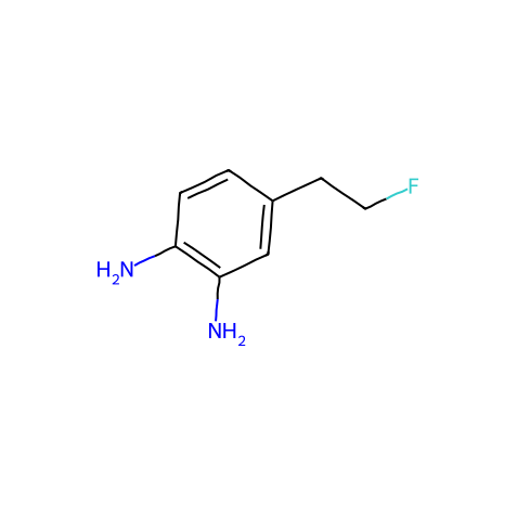 Nc1ccc(CCF)cc1N